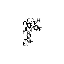 CCN[C@@H](C)[C@@H]1CCN(c2nc3c(cc2F)c(=O)c(C(=O)O)cn3-c2ccc(F)cc2F)C1